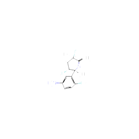 C=C1N[C@](C)(c2cc(N)ccc2F)[C@@H](F)C[C@@]1(C)F